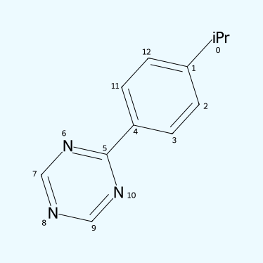 CC(C)c1ccc(-c2ncncn2)cc1